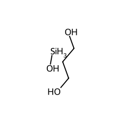 OCCCO.O[SiH3]